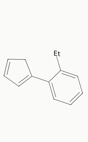 CCc1ccccc1C1=CC=CC1